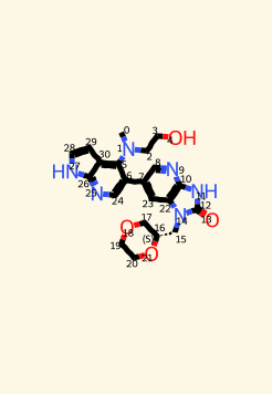 CN(CCO)c1c(-c2cnc3[nH]c(=O)n(C[C@H]4COCCO4)c3c2)cnc2[nH]ccc12